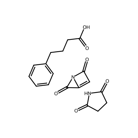 O=C(O)CCCc1ccccc1.O=C1C=C2C(=O)N12.O=C1CCC(=O)N1